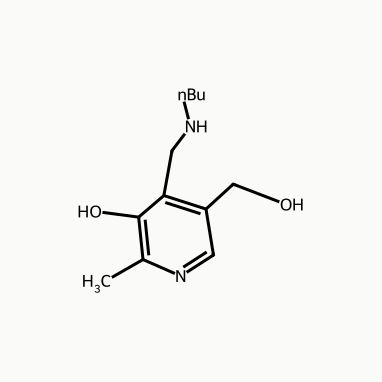 CCCCNCc1c(CO)cnc(C)c1O